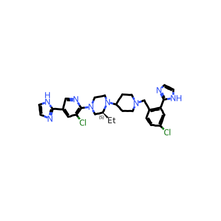 CC[C@H]1CN(c2ncc(-c3ncc[nH]3)cc2Cl)CCN1C1CCN(Cc2ccc(Cl)cc2-c2ncc[nH]2)CC1